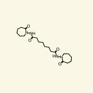 O=C(CCCCCCC(=O)NN1CCCCCC1=O)NN1CCCCCC1=O